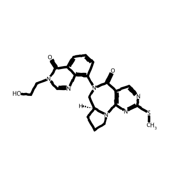 CSc1ncc2c(n1)N1CCC[C@H]1CN(c1cccc3c(=O)n(CCO)cnc13)C2=O